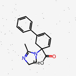 COC(=O)C1(N2CCN=C2C)C=CC=C(c2ccccc2)C1